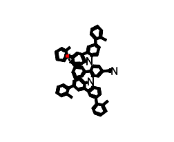 Cc1ccccc1-c1ccc2c(c1)c1cc(-c3ccccc3C)ccc1n2-c1cc(C#N)cc(-n2c3ccc(-c4ccccc4C)cc3c3cc(-c4ccccc4C)ccc32)c1-c1cccc(C#N)c1